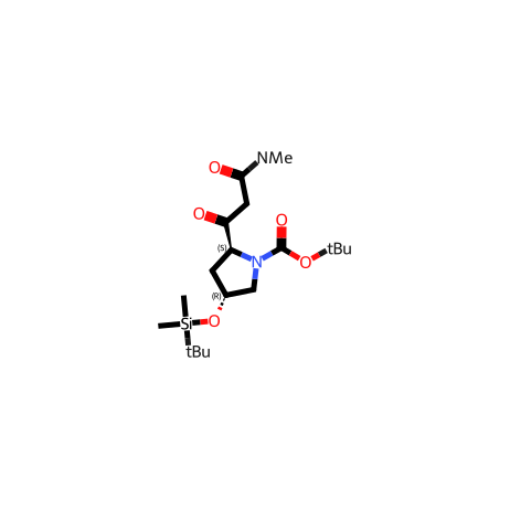 CNC(=O)CC(=O)[C@@H]1C[C@@H](O[Si](C)(C)C(C)(C)C)CN1C(=O)OC(C)(C)C